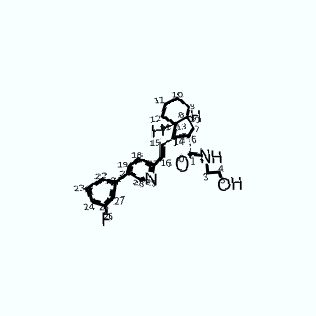 O=C(NCCO)[C@H]1C[C@H]2CCCC[C@H]2[C@@H]1/C=C/c1ccc(-c2cccc(F)c2)cn1